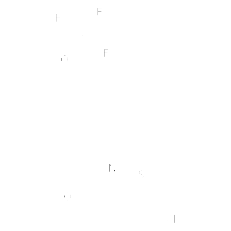 O=C1CC(Cl)SN1c1ccc(OC(F)(F)F)cc1